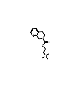 C[Si](C)(C)CCOC(=O)N1CCc2cccnc2C1